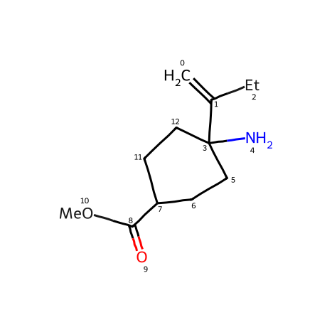 C=C(CC)C1(N)CCC(C(=O)OC)CC1